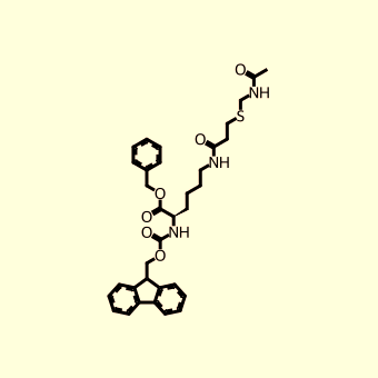 CC(=O)NCSCCC(=O)NCCCC[C@@H](NC(=O)OCC1c2ccccc2-c2ccccc21)C(=O)OCc1ccccc1